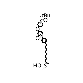 CC(CCCCCCCCc1ccc(-n2ccc(OC3CCN(C(=O)OC(C)(C)C)CC3)cc2=O)cc1)S(=O)(=O)O